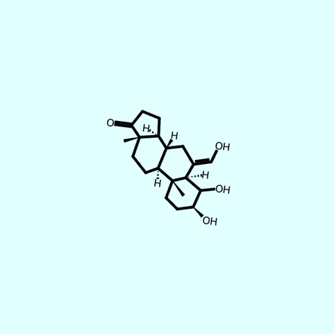 C[C@]12CC[C@H](O)C(O)[C@@H]1C(=CO)C[C@@H]1[C@@H]2CC[C@]2(C)C(=O)CC[C@@H]12